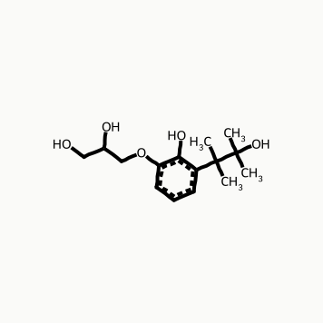 CC(C)(O)C(C)(C)c1cccc(OCC(O)CO)c1O